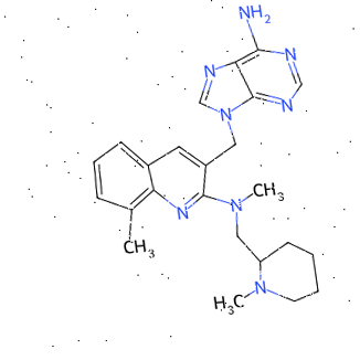 Cc1cccc2cc(Cn3cnc4c(N)ncnc43)c(N(C)CC3CCCCN3C)nc12